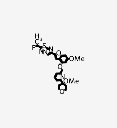 COc1cc(OCc2cccc(C3(OC)CCOCC3)n2)c2cc(-c3cn4nc([C@H](C)F)sc4n3)oc2c1